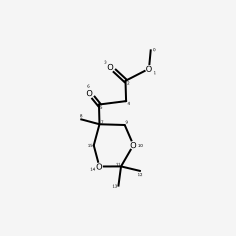 COC(=O)CC(=O)C1(C)COC(C)(C)OC1